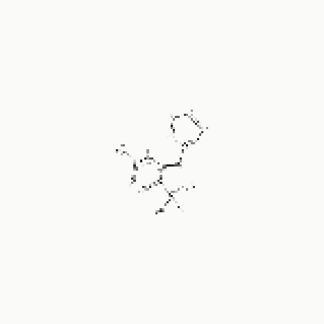 C[C@]1(C(=O)[C@H](Cc2ccccc2)NC(=O)C(F)(F)F)CO1